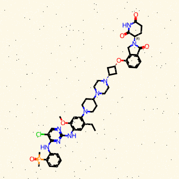 CCc1cc(Nc2ncc(Cl)c(Nc3ccccc3P(C)(C)=O)n2)c(OC)cc1N1CCC(N2CCN([C@H]3C[C@@H](Oc4cccc5c4CN([C@@H]4CCC(=O)NC4=O)C5=O)C3)CC2)CC1